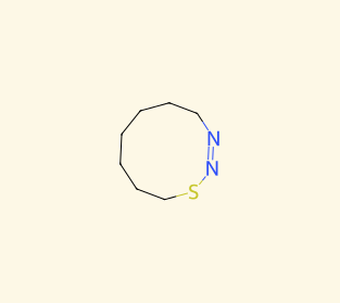 C1CCCN=NSCCC1